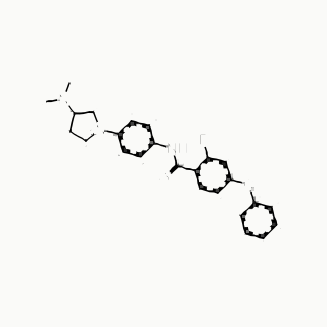 CN(C)C1CCN(c2ccc(NC(=O)c3ccc(Oc4ccccc4)cc3F)cc2)C1